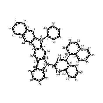 c1ccc(-n2c3cc4ccccc4cc3c3cc4c5ccccc5n(-c5nc(-c6cccc7ccccc67)c6ccccc6n5)c4cc32)cc1